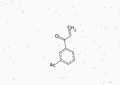 C=CC(=O)c1cccc(C(C)=O)c1